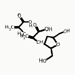 C=C(C)C(=O)O.C=C(C)C(=O)O.OCC1CCC(CO)O1